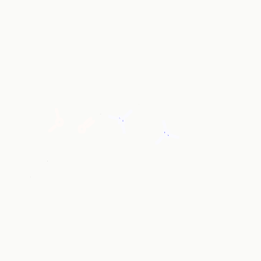 O=C(Cc1ccccc1OCc1ccccc1)N1CCN(C2CCCCC2)CC1